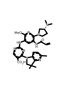 C=CC(=O)Nc1cc(Nc2ncc(C(=O)O)c(N3CC(C)(C)c4nc(C)ccc43)n2)c(OC)nc1N1CC[C@@H](N(C)C)C1